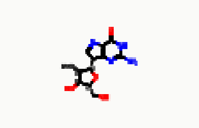 CO[C@@H]1[C@H](O)[C@@H](CO)O[C@H]1C1C=Nc2c1nc(N)[nH]c2=O